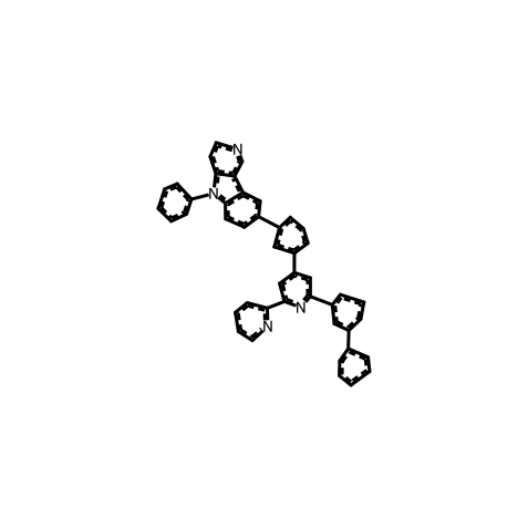 c1ccc(-c2cccc(-c3cc(-c4cccc(-c5ccc6c(c5)c5cnccc5n6-c5ccccc5)c4)cc(-c4ccccn4)n3)c2)cc1